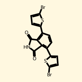 O=C1NC(=O)c2c(-c3ccc(Br)s3)ccc(-c3ccc(Br)s3)c21